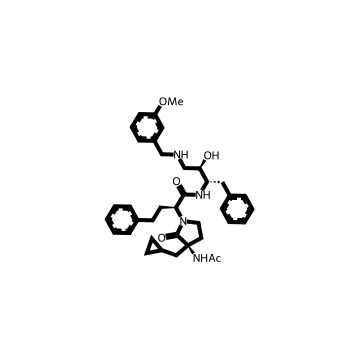 COc1cccc(CNC[C@@H](O)[C@H](Cc2ccccc2)NC(=O)[C@H](CCc2ccccc2)N2CC[C@@](CC3CC3)(NC(C)=O)C2=O)c1